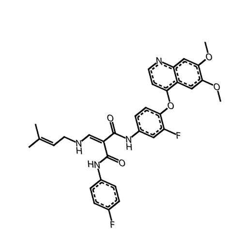 COc1cc2nccc(Oc3ccc(NC(=O)/C(=C/NCC=C(C)C)C(=O)Nc4ccc(F)cc4)cc3F)c2cc1OC